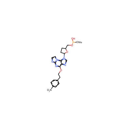 COP(O)OCC1CCC(n2cnc3c(OCCc4ccc([N+](=O)[O-])cc4)nc4nccn4c32)O1